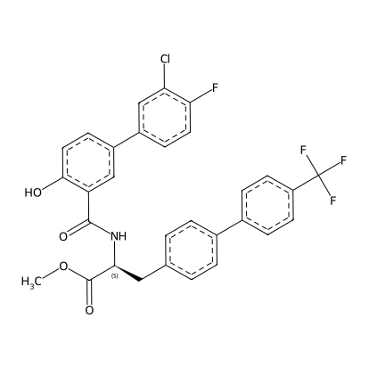 COC(=O)[C@H](Cc1ccc(-c2ccc(C(F)(F)F)cc2)cc1)NC(=O)c1cc(-c2ccc(F)c(Cl)c2)ccc1O